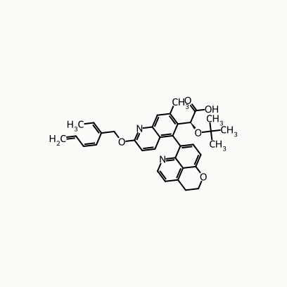 C=C/C=C\C(=C/C)COc1ccc2c(-c3ccc4c5c(ccnc35)CCO4)c([C@H](OC(C)(C)C)C(=O)O)c(C)cc2n1